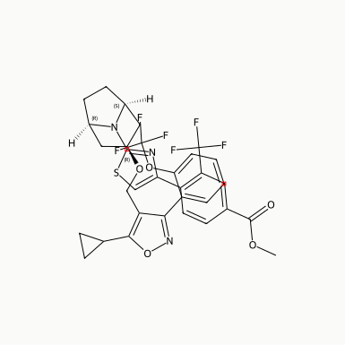 COC(=O)c1ccc(-c2csc(N3[C@@H]4CC[C@H]3C[C@@H](OCc3c(-c5ccccc5OC(F)(F)F)noc3C3CC3)C4)n2)c(C(F)(F)F)c1